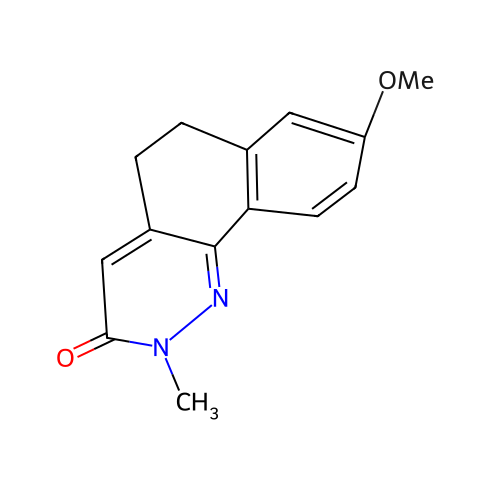 COc1ccc2c(c1)CCc1cc(=O)n(C)nc1-2